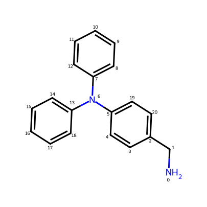 NCc1ccc(N(c2ccccc2)c2ccccc2)cc1